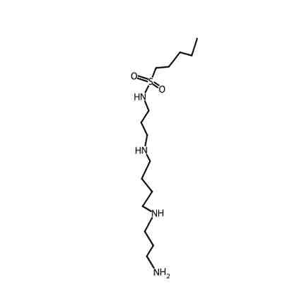 CCCCCS(=O)(=O)NCCCNCCCCNCCCN